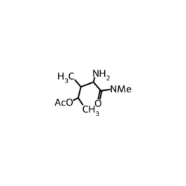 CNC(=O)C(N)C(C)C(C)OC(C)=O